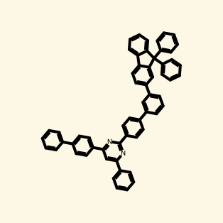 c1ccc(-c2ccc(-c3cc(-c4ccccc4)nc(-c4ccc(-c5cccc(-c6ccc7c(c6)C(c6ccccc6)(c6ccccc6)c6ccccc6-7)c5)cc4)n3)cc2)cc1